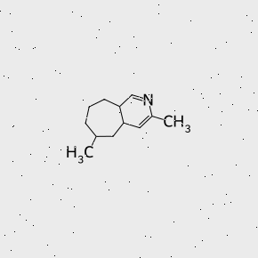 CC1=CC2CC(C)CCCC2C=N1